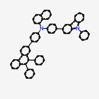 c1ccc(-c2c(-c3ccccc3)c3cc(-c4ccc(N(c5ccc(-c6ccc7c(c6)c6ccccc6n7-c6ccccc6)cc5)c5cccc6ccccc56)cc4)ccc3c3ccccc23)cc1